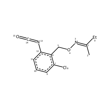 CCC(C)=NOCc1c(Cl)cccc1N=C=O